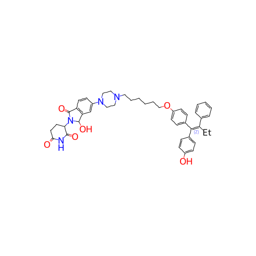 CC/C(=C(\c1ccc(O)cc1)c1ccc(OCCCCCCN2CCN(c3ccc4c(c3)C(O)N(C3CCC(=O)NC3=O)C4=O)CC2)cc1)c1ccccc1